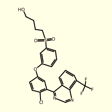 O=S(=O)(CCCCO)c1cccc(Oc2ccc(Cl)c(-c3ncnc4c(C(F)(F)F)cccc34)c2)c1